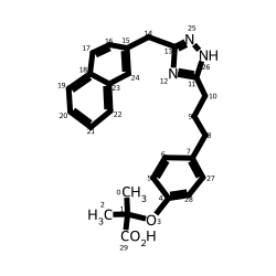 CC(C)(Oc1ccc(CCCc2nc(Cc3ccc4ccccc4c3)n[nH]2)cc1)C(=O)O